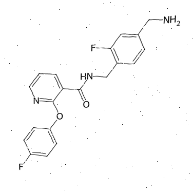 NCc1ccc(CNC(=O)c2cccnc2Oc2ccc(F)cc2)c(F)c1